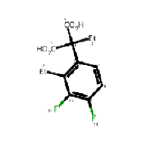 CCc1c(C(CC)(C(=O)O)C(=O)O)ccc(F)c1F